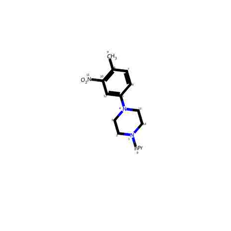 CCCN1CCN(c2ccc(C)c([N+](=O)[O-])c2)CC1